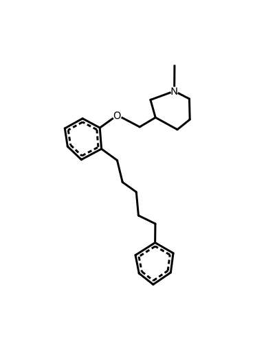 CN1CCCC(COc2ccccc2CCCCCc2ccccc2)C1